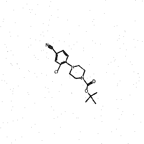 CC(C)(C)OC(=O)N1CCN(c2ccc(C#N)cc2Cl)CC1